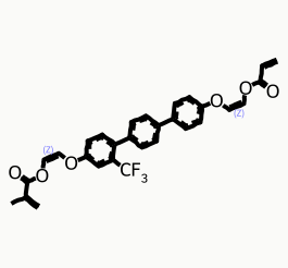 C=CC(=O)O/C=C\Oc1ccc(-c2ccc(-c3ccc(O/C=C\OC(=O)C(=C)C)cc3C(F)(F)F)cc2)cc1